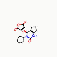 O=C1C=CC(=O)O1.O=c1[nH]c2c(c(=O)n1C1CCCCC1)CCC2